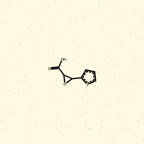 O=C(O)C1OC1c1cccs1